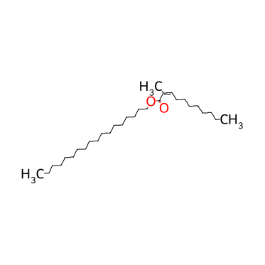 CCCCCCCCC=C(C)C(=O)OCCCCCCCCCCCCCCCCCC